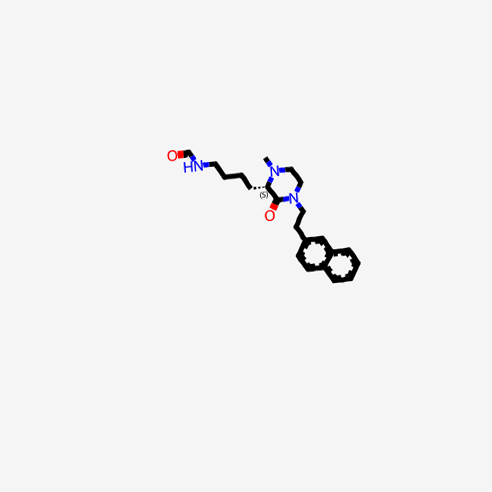 CN1CCN(CCc2ccc3ccccc3c2)C(=O)[C@@H]1CCCCNC=O